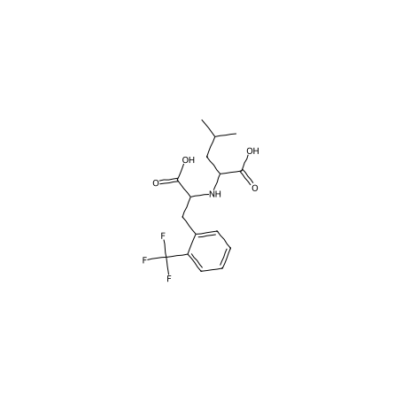 CC(C)CC(NC(Cc1ccccc1C(F)(F)F)C(=O)O)C(=O)O